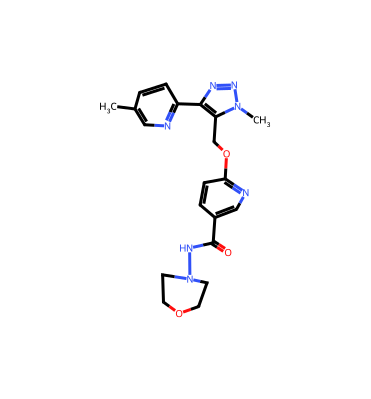 Cc1ccc(-c2nnn(C)c2COc2ccc(C(=O)NN3CCOCC3)cn2)nc1